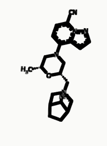 C[C@@H]1CN(c2ccc(C#N)n3nccc23)C[C@H](CN2CC3CCC(C2)C3N)O1